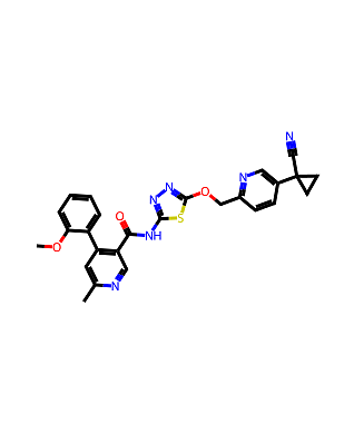 COc1ccccc1-c1cc(C)ncc1C(=O)Nc1nnc(OCc2ccc(C3(C#N)CC3)cn2)s1